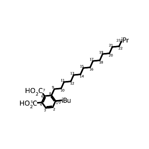 CCC(C)c1ccc(C(=O)O)c(C(=O)O)c1CCCCCCCCCCCCCCC(C)C